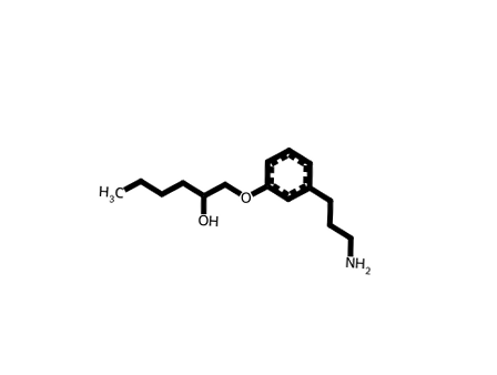 CCCCC(O)COc1cccc(CCCN)c1